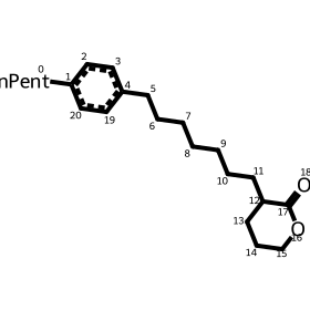 CCCCCc1ccc(CCCCCCCC2CCCOC2=O)cc1